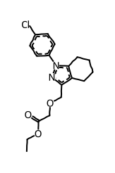 CCOC(=O)COCc1nn(-c2ccc(Cl)cc2)c2c1CCCC2